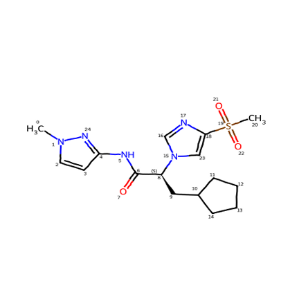 Cn1ccc(NC(=O)[C@H](CC2CCCC2)n2cnc(S(C)(=O)=O)c2)n1